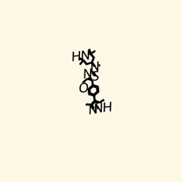 Cc1n[nH]c(C)c1-c1ccc2c(c1)OCc1nc(N(C)C3CC(C)(C)NC(C)(C)C3)sc1-2